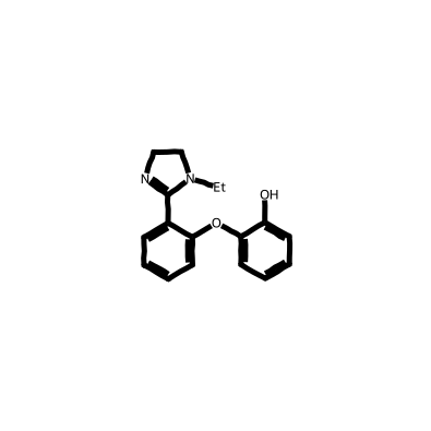 CCN1CCN=C1c1ccccc1Oc1ccccc1O